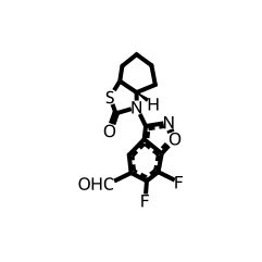 O=Cc1cc2c(N3C(=O)SC4CCCC[C@@H]43)noc2c(F)c1F